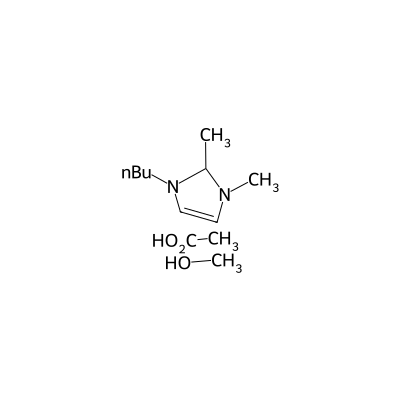 CC(=O)O.CCCCN1C=CN(C)C1C.CO